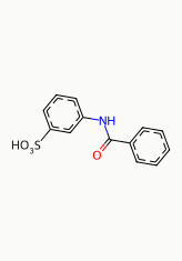 O=C(Nc1cccc(S(=O)(=O)O)c1)c1ccccc1